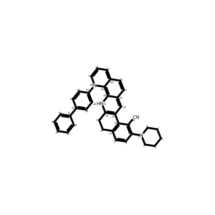 N#Cc1c(N2CCCCC2)ccc2c1C1=C(CC2)Nc2c3c(ccc2=C1)=CC=CN3c1ccc(-c2ccccc2)cc1